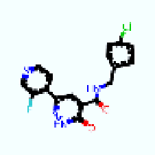 O=C(NCc1ccc(Cl)cc1)c1cc(-c2ccncc2F)n[nH]c1=O